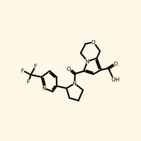 O=C(O)c1cc(C(=O)N2CCCC2c2ccc(C(F)(F)F)nc2)n2c1COCC2